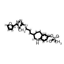 Cn1c(SCCCC2CCc3cc(OS(C)(=O)=O)ccc3NC2)nnc1-c1ccco1